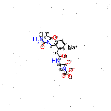 NC(=O)N(Cc1ccccc1CC(=O)NC1CN(S(=O)(=O)[O-])C1=O)C(=O)C(Cl)(Cl)Cl.[Na+]